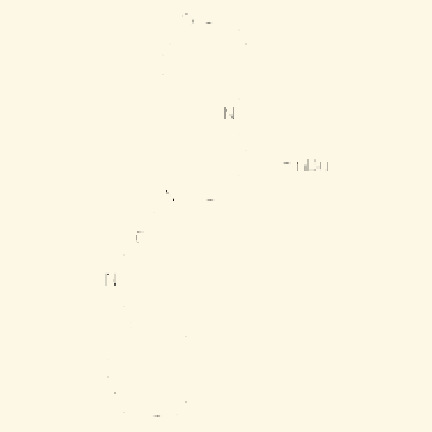 CCCCC(CN=C=NC1CCCCC1)N1CCOCC1